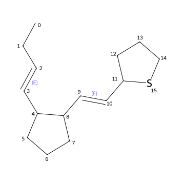 CC/C=C/C1CCCC1/C=C/C1CCCS1